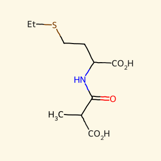 CCSCCC(NC(=O)C(C)C(=O)O)C(=O)O